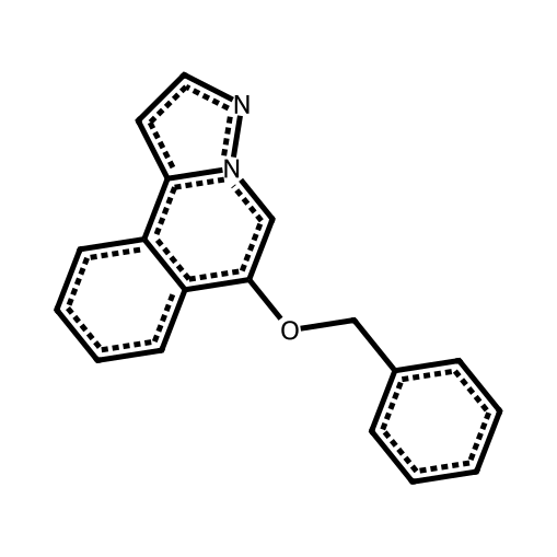 c1ccc(COc2cn3nccc3c3ccccc23)cc1